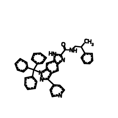 CC(CNC(=O)c1nc2cc3c(-c4ccncc4)nn(C(c4ccccc4)(c4ccccc4)c4ccccc4)c3cc2[nH]1)c1ccccc1